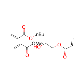 C=CC(=O)OC.C=CC(=O)OCCCC.C=CC(=O)OCCO